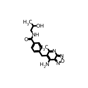 Cc1nc2nonc2c(N)c1Cc1ccc(C(=O)NCC(C)O)cc1